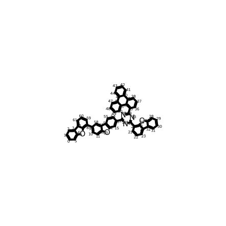 c1ccc2c(c1)oc1c(-c3ccc4oc5cc(-c6nc(-c7cccc8c7oc7ccccc78)nc(-c7cccc8c9ccccc9c9ccccc9c78)n6)ccc5c4c3)cccc12